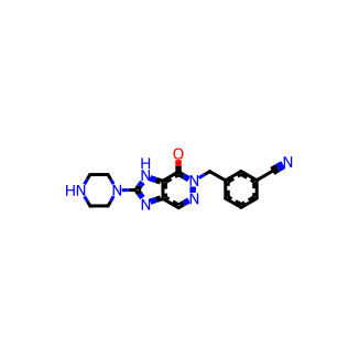 N#Cc1cccc(Cn2ncc3nc(N4CCNCC4)[nH]c3c2=O)c1